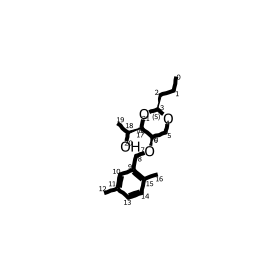 CCC[C@H]1OC[C@@H](OCc2cc(C)ccc2C)[C@@H](C(C)O)O1